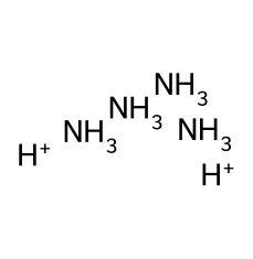 N.N.N.N.[H+].[H+]